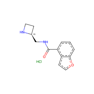 Cl.O=C(NC[C@@H]1CCN1)c1cccc2occc12